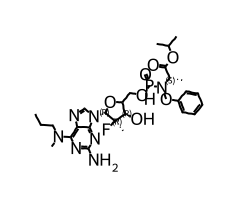 CCCN(C)c1nc(N)nc2c1ncn2[C@@H]1OC(CO[PH](=O)N(Oc2ccccc2)[C@@H](C)C(=O)OC(C)C)[C@@H](O)[C@@]1(C)F